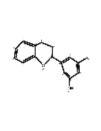 Cc1cc(O)cc(C2CCc3ccccc3O2)c1